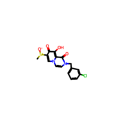 C[S+]([O-])c1cn2ccn(Cc3cccc(Cl)c3)c(=O)c2c(O)c1=O